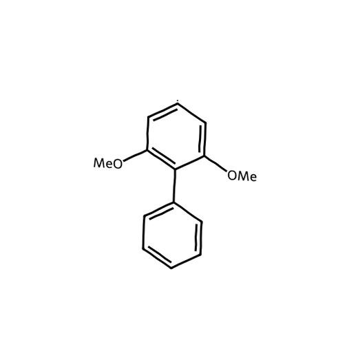 COc1c[c]cc(OC)c1-c1ccccc1